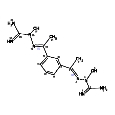 C/C(=N\N(O)C(=N)N)c1cccc(/C(C)=N/N(O)C(=N)N)c1